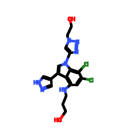 OCCCNc1cc(Cl)c(Cl)c2c1c(-c1cn[nH]c1)cn2-c1cn(CCO)nn1